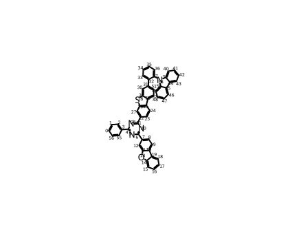 c1ccc(-c2nc(-c3ccc4c(c3)oc3ccccc34)nc(-c3ccc4c(c3)sc3cc(-c5ccccc5-n5c6ccccc6c6ccccc65)ccc34)n2)cc1